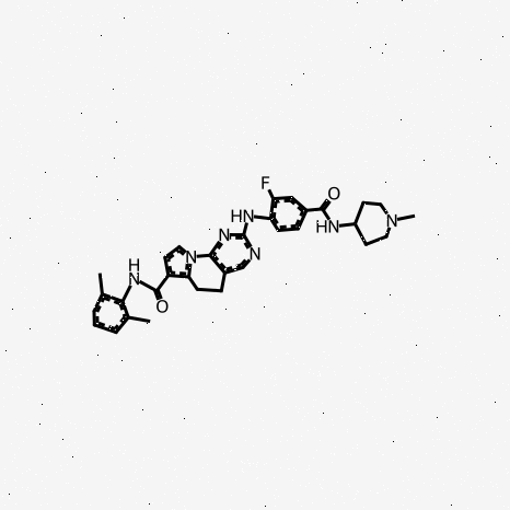 Cc1cccc(C)c1NC(=O)c1ccn2c1CCc1cnc(Nc3ccc(C(=O)NC4CCN(C)CC4)cc3F)nc1-2